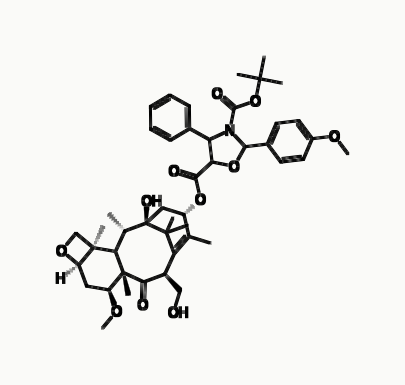 COc1ccc(C2OC(C(=O)O[C@H]3C[C@@]4(O)[C@@H](C)C5[C@]6(C)CO[C@@H]6C[C@H](OC)[C@@]5(C)C(=O)[C@H](CO)C(=C3C)C4(C)C)C(c3ccccc3)N2C(=O)OC(C)(C)C)cc1